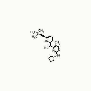 Cc1cnc(NC2CCCC2)nc1C(C#N)=C1C=CC=C(C#C[Si](C)(C)C)N1